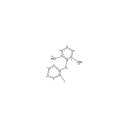 Cc1ccccc1Sc1c(O)cccc1O